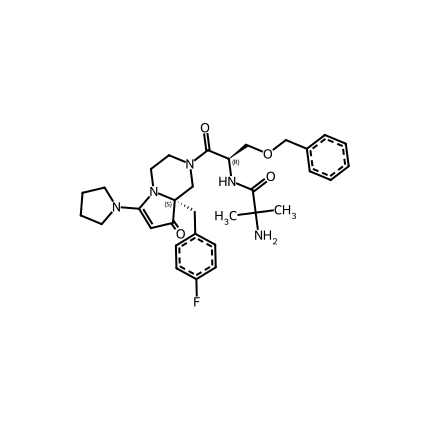 CC(C)(N)C(=O)N[C@H](COCc1ccccc1)C(=O)N1CCN2C(N3CCCC3)=CC(=O)[C@]2(Cc2ccc(F)cc2)C1